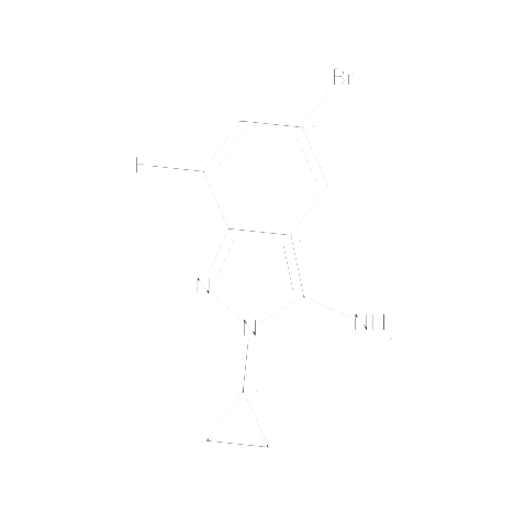 Nc1c2cc(Br)cc(F)c2nn1C1CC1